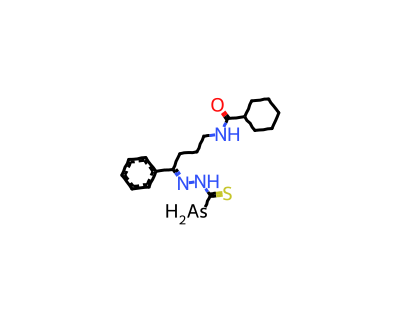 O=C(NCCC/C(=N\NC(=S)[AsH2])c1ccccc1)C1CCCCC1